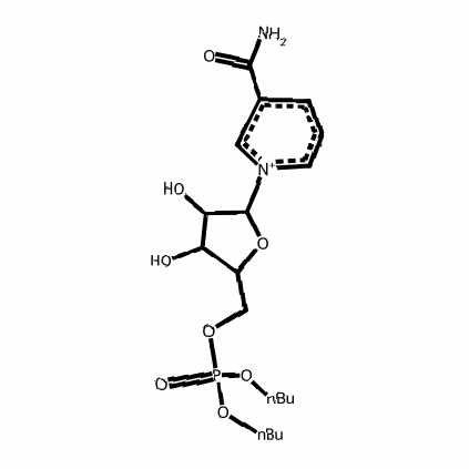 CCCCOP(=O)(OCCCC)OCC1OC([n+]2cccc(C(N)=O)c2)C(O)C1O